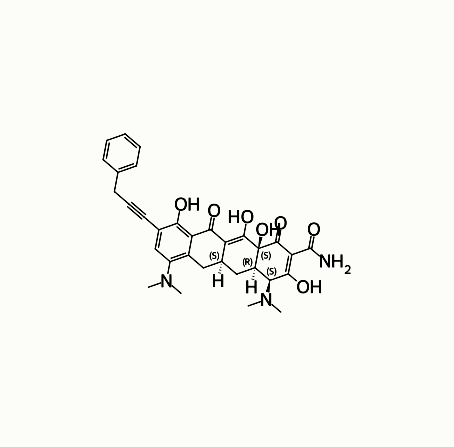 CN(C)c1cc(C#CCc2ccccc2)c(O)c2c1C[C@@H]1C[C@@H]3[C@H](N(C)C)C(O)=C(C(N)=O)C(=O)[C@@]3(O)C(O)=C1C2=O